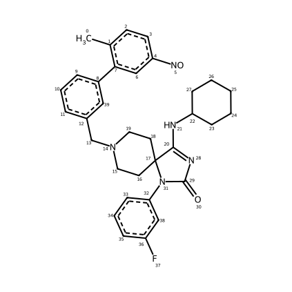 Cc1ccc(N=O)cc1-c1cccc(CN2CCC3(CC2)C(NC2CCCCC2)=NC(=O)N3c2cccc(F)c2)c1